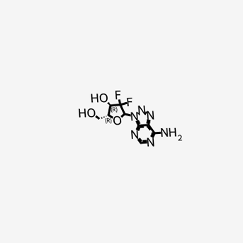 Nc1ncnc2c1nnn2C1O[C@H](CO)[C@@H](O)C1(F)F